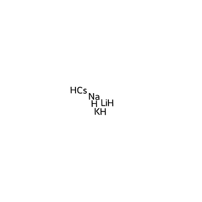 [CsH].[KH].[LiH].[NaH]